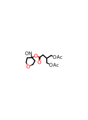 CC(=O)OCC(COC(C)=O)CC(=O)OC1(N=O)CCOCC1